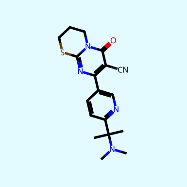 CN(C)C(C)(C)c1ccc(-c2nc3n(c(=O)c2C#N)CCCS3)cn1